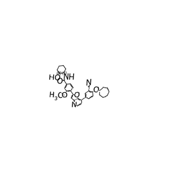 COc1cc(C(=O)N[C@H]2CCCC[C@H]2O)ccc1-c1cc2nccc(-c3ccc(OC4CCCCCC4)c(C#N)c3)c2o1